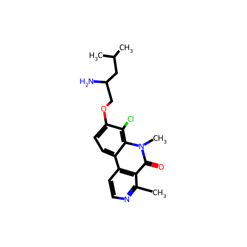 Cc1nccc2c1c(=O)n(C)c1c(Cl)c(OCC(N)CC(C)C)ccc21